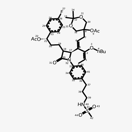 C/C=C(OCCCC)\C(=C/CC1(OC(C)=O)COC(C)(C)OC1)[C@@H]1C(CC[C@H](OC(C)=O)c2ccc(F)cc2)C(=O)N1c1ccc(CCCNS(C)(=O)=O)cc1